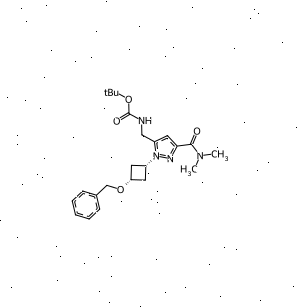 CN(C)C(=O)c1cc(CNC(=O)OC(C)(C)C)n([C@H]2C[C@@H](OCc3ccccc3)C2)n1